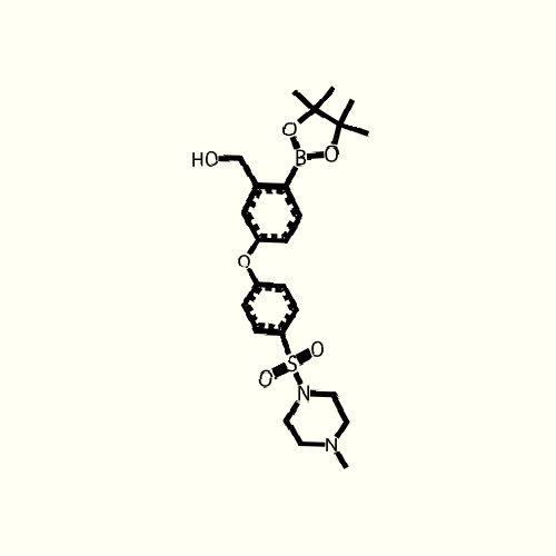 CN1CCN(S(=O)(=O)c2ccc(Oc3ccc(B4OC(C)(C)C(C)(C)O4)c(CO)c3)cc2)CC1